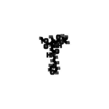 CCOC(=O)c1c(CC(=O)NCCCN2CCOCC2)[nH]c(C(=O)OC(C)(C)C)c1C